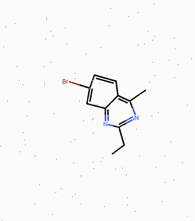 CCc1nc(C)c2ccc(Br)cc2n1